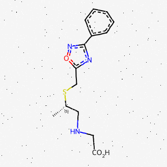 C[C@@H](CNCC(=O)O)SCc1nc(-c2ccccc2)no1